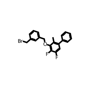 Cc1c(-c2ccccc2)cc(F)c(F)c1OCc1cccc(CBr)c1